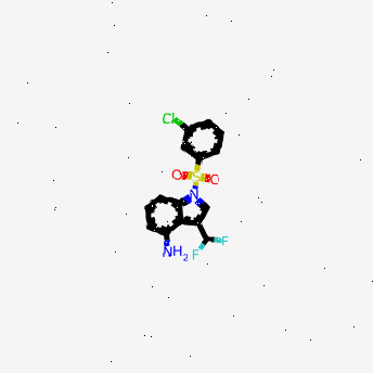 Nc1cccc2c1c(C(F)F)cn2S(=O)(=O)c1cccc(Cl)c1